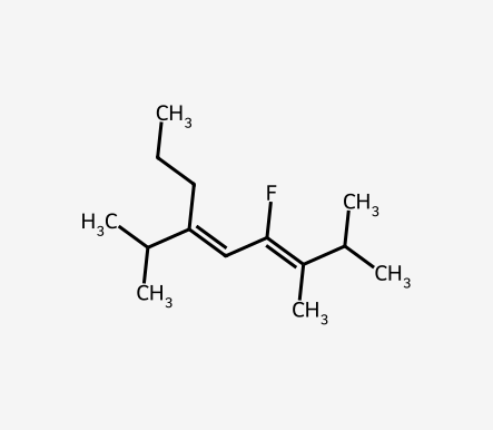 CCC/C(=C\C(F)=C(/C)C(C)C)C(C)C